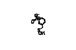 O=[N+]([O-])c1cccc(CSO)c1